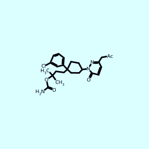 CC(=O)Cc1ccc(=O)n(C2CCC(CCC(C)(C)OC(N)=O)(c3cccc(Cl)c3)CC2)n1